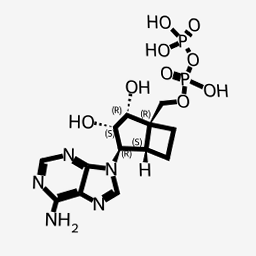 Nc1ncnc2c1ncn2[C@H]1[C@H](O)[C@H](O)[C@]2(COP(=O)(O)OP(=O)(O)O)CC[C@H]12